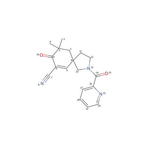 CC1(C)CC2(C=C(C#N)C1=O)CCN(C(=O)c1ccccn1)C2